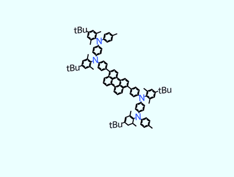 CC1=C(N(c2ccc(C)cc2)c2ccc(N(c3ccc(-c4ccc5c6ccc(-c7ccc(N(c8ccc(N(c9ccc(C)cc9)c9c(C)cc(C(C)(C)C)cc9C)cc8)c8c(C)cc(C(C)(C)C)cc8C)cc7)c7cccc(c8cccc4c85)c76)cc3)c3c(C)cc(C(C)(C)C)cc3C)cc2)C(C)CC(C(C)(C)C)=C1